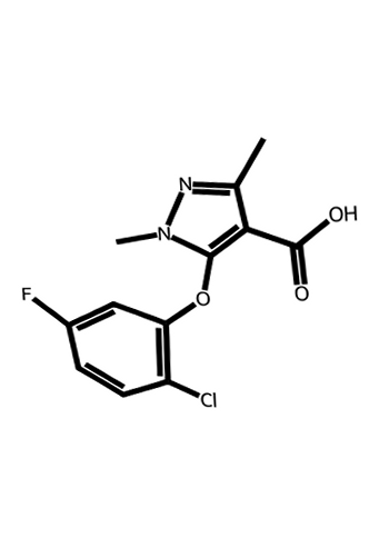 Cc1nn(C)c(Oc2cc(F)ccc2Cl)c1C(=O)O